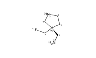 NC[C@]1(CF)CCNC1